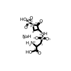 NC(CS(=O)(=O)NC1CN(S(=O)(=O)O)C1=O)C(=O)O.[NaH]